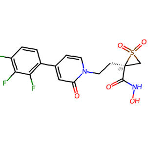 O=C(NO)[C@]1(CCn2ccc(-c3ccc(F)c(F)c3F)cc2=O)CS1(=O)=O